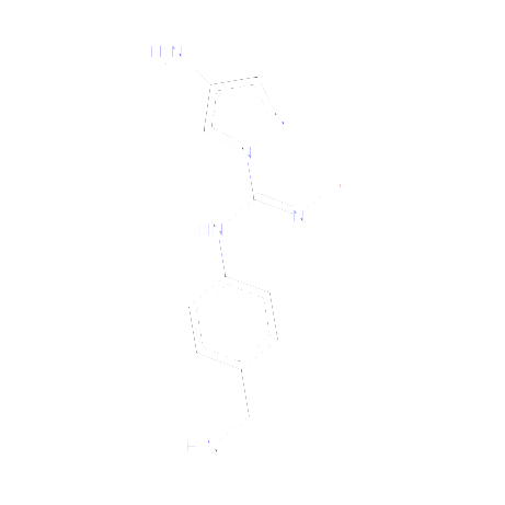 NCc1ccc(NC(=NO)n2cc(N)cn2)cc1